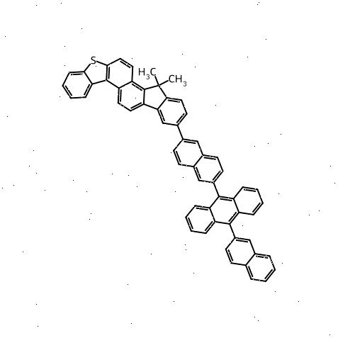 CC1(C)c2ccc(-c3ccc4cc(-c5c6ccccc6c(-c6ccc7ccccc7c6)c6ccccc56)ccc4c3)cc2-c2ccc3c(ccc4sc5ccccc5c43)c21